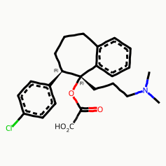 CN(C)CCC[C@]1(OC(=O)C(=O)O)c2ccccc2CCC[C@@H]1c1ccc(Cl)cc1